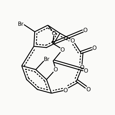 O=C1OC(=O)Oc2c(Br)c3ccc2oc(=O)oc(=O)oc2ccc3c(Br)c2O1